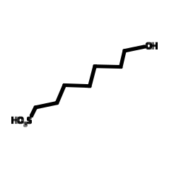 O=S(=O)(O)CCCCCCCO